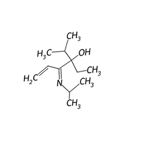 C=CC(=NC(C)C)C(O)(CC)C(C)C